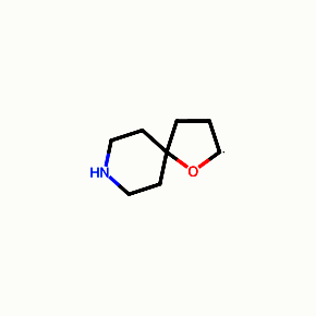 [CH]1CCC2(CCNCC2)O1